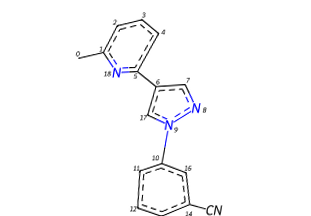 Cc1cccc(-c2cnn(-c3cccc(C#N)c3)c2)n1